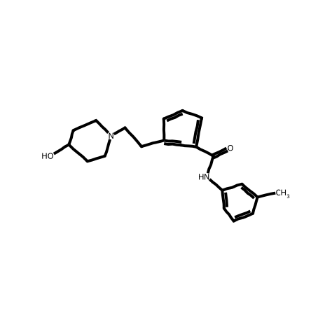 Cc1cccc(NC(=O)c2cccc(CCN3CCC(O)CC3)c2)c1